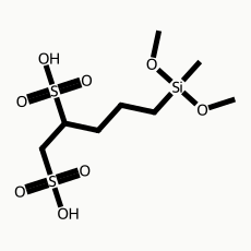 CO[Si](C)(CCCC(CS(=O)(=O)O)S(=O)(=O)O)OC